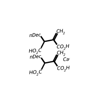 C=C(C(=O)O)C(CCCCCCCCCC)C(=O)O.C=C(C(=O)O)C(CCCCCCCCCC)C(=O)O.[Ca]